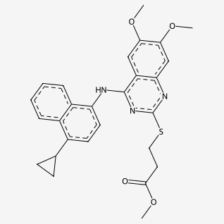 COC(=O)CCSc1nc(Nc2ccc(C3CC3)c3ccccc23)c2cc(OC)c(OC)cc2n1